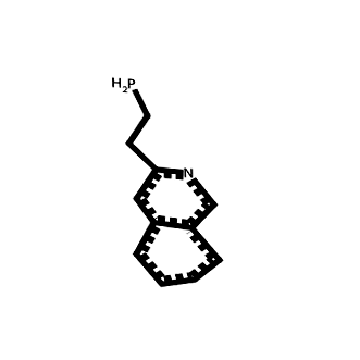 PCCc1cc2ccccc2cn1